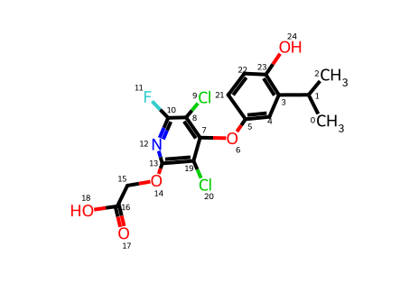 CC(C)c1cc(Oc2c(Cl)c(F)nc(OCC(=O)O)c2Cl)ccc1O